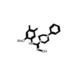 COc1cc(C)c(C)cc1NC(=NO)N1CCN(c2ccccc2)CC1